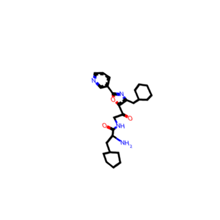 NC(CC1CCCCC1)C(=O)NCC(=O)c1oc(-c2cccnc2)nc1CC1CCCCC1